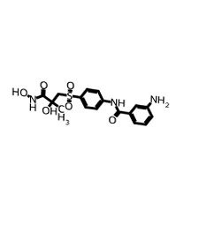 CC(O)(CS(=O)(=O)c1ccc(NC(=O)c2cccc(N)c2)cc1)C(=O)NO